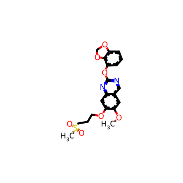 COc1cc2cnc(Oc3cccc4c3OCO4)nc2cc1OCCCS(C)(=O)=O